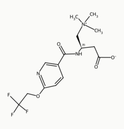 C[N+](C)(C)C[C@@H](CC(=O)[O-])NC(=O)c1ccc(OCC(F)(F)F)nc1